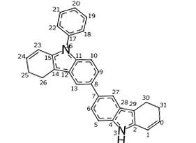 C1=Cc2[nH]c3ccc(-c4ccc5c(c4)c4c(n5-c5ccccc5)C=CCC4)cc3c2CC1